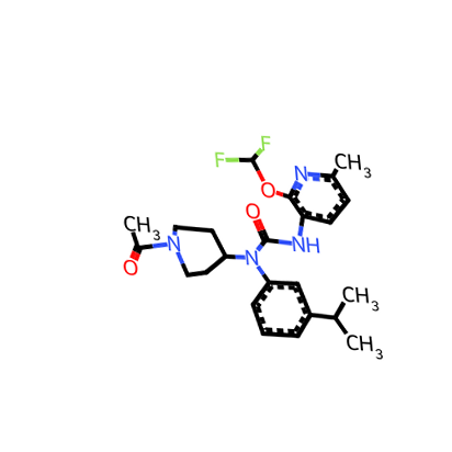 CC(=O)N1CCC(N(C(=O)Nc2ccc(C)nc2OC(F)F)c2cccc(C(C)C)c2)CC1